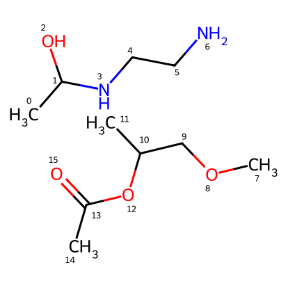 CC(O)NCCN.COCC(C)OC(C)=O